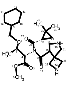 COC(=O)[C@H]([C@@H](C)OCC1CCCCC1)N(C(=O)C1CNCC12CNC2)C(=O)[C@H]1CC1(C)C